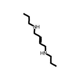 CCCNC/C=C/CNCCC